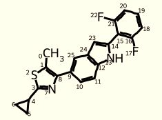 Cc1sc(C2CC2)nc1-c1ccc2[nH]c(-c3c(F)cccc3F)cc2c1